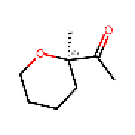 CC(=O)[C@@]1(C)CCCCO1